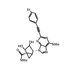 CCc1ccc(C#Cc2nc(NC)c3ncn([C@H]4C(O)[C@H](O)[C@@]5(C(=O)NC)CC45)c3n2)cc1